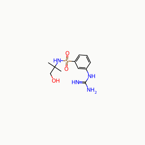 CC(C)(CO)NS(=O)(=O)c1cccc(NC(=N)N)c1